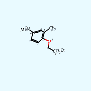 CCOC(=O)COc1ccc(NC)cc1C(F)(F)F